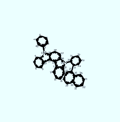 c1ccc(-n2c3ccccc3c3c4c5ccccc5n(-c5ccccc5-c5cccc6ccccc56)c4ccc32)cc1